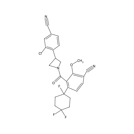 COc1c(C#N)ccc(C2(F)CCC(F)(F)CC2)c1C(=O)N1CC(c2ccc(C#N)cc2Cl)C1